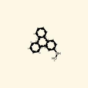 OBc1ccc2c3ccccc3c3ccccc3c2c1